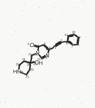 O=c1cc(C#Cc2ccccc2)ncn1CC1(O)CCNCC1